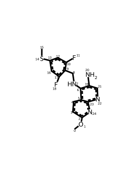 COc1ccc2c(NCc3c(F)cc(SC)cc3F)c(N)cnc2n1